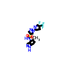 Cc1ccc2[nH]ncc2c1NS(=O)(=O)c1cnn(-c2ccc(C(F)(F)F)cn2)c1